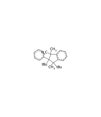 CC(C)(C)C1(C)c2ccccc2C(C)(C)C1(c1ccccc1)C(C)(C)C